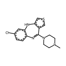 CN1CCN(C2=Nc3ccc(Cl)cc3Nc3cscc32)CC1